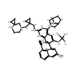 C#Cc1cccc2cc(O)cc(-c3c(SC(F)(F)F)cc4c(N5CC6CCC(C5)N6)nc(OCC5(CN6CCOC7(CC7)C6)CC5)nc4c3F)c12